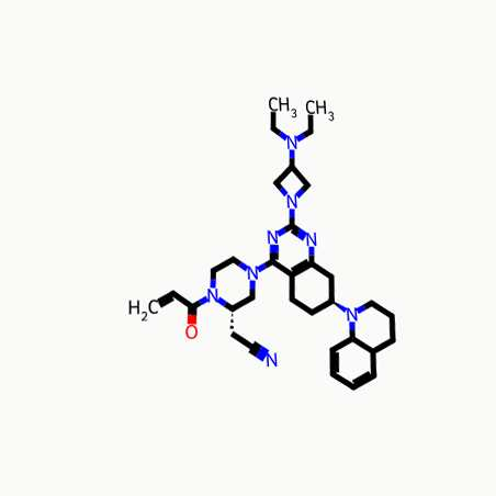 C=CC(=O)N1CCN(c2nc(N3CC(N(CC)CC)C3)nc3c2CC[C@H](N2CCCC4C=CC=CC42)C3)C[C@@H]1CC#N